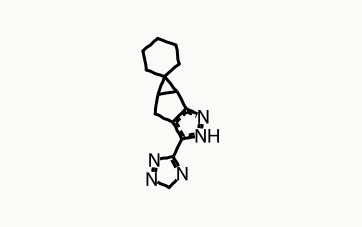 C1CCC2(CC1)C1Cc3c(n[nH]c3C3=NCN=N3)C12